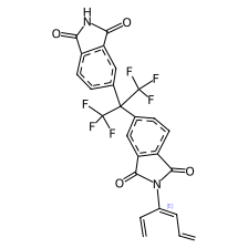 C=C/C=C(\C=C)N1C(=O)c2ccc(C(c3ccc4c(c3)C(=O)NC4=O)(C(F)(F)F)C(F)(F)F)cc2C1=O